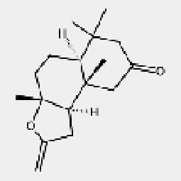 C=C1C[C@@H]2[C@@]3(C)CC(=O)CC(C)(C)[C@@H]3CC[C@@]2(C)O1